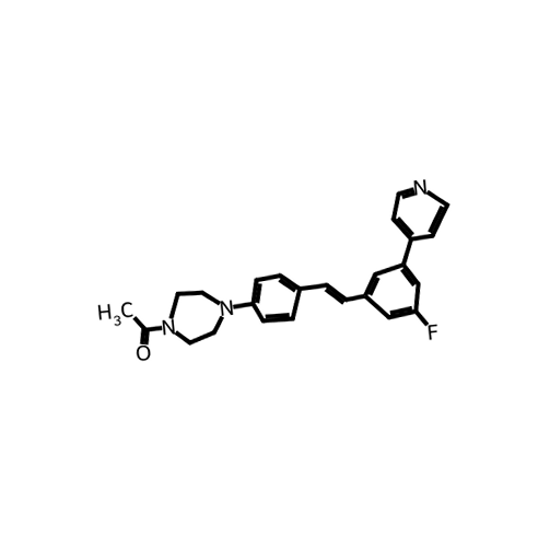 CC(=O)N1CCN(c2ccc(C=Cc3cc(F)cc(-c4ccncc4)c3)cc2)CC1